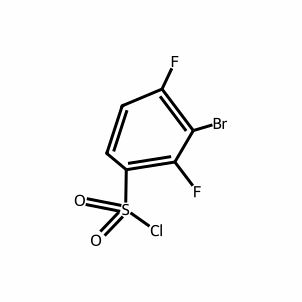 O=S(=O)(Cl)c1ccc(F)c(Br)c1F